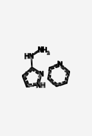 NNc1cc[nH]n1.c1ccncc1